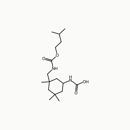 CC(C)CCOC(=O)NCC1(C)CC(NC(=O)O)CC(C)(C)C1